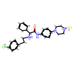 O=C(Nc1ccc(N2CCN(S)CC2)cc1)C(NCCc1ccc(Cl)cc1)C1C=CC=CC1